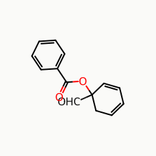 O=[C]C1(OC(=O)c2ccccc2)C=CC=CC1